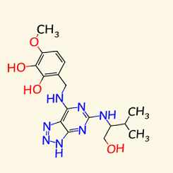 COc1ccc(CNc2nc(NC(CO)C(C)C)nc3[nH]nnc23)c(O)c1O